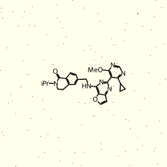 COc1ncnc(C2CC2)c1-c1nc(NCc2ccc3c(c2)CCN(C(C)C)C3=O)c2occc2n1